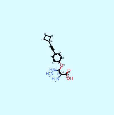 NN/C(Oc1ccc(C#CC2CCC2)cc1)=C(\N)C(=O)O